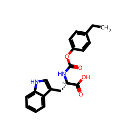 CCc1ccc(OC(=O)N[C@@H](Cc2c[nH]c3ccccc23)C(=O)O)cc1